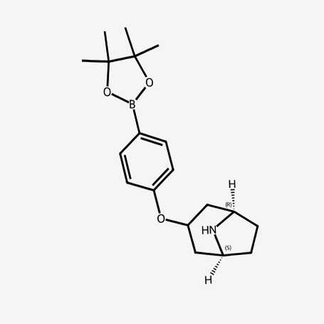 CC1(C)OB(c2ccc(OC3C[C@H]4CC[C@@H](C3)N4)cc2)OC1(C)C